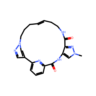 Cn1cc2c(n1)C(=O)NCC/C=C/CCCn1cc(cn1)-c1cccc(n1)C(=O)N2